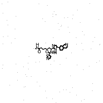 CNC(=O)CCCCCC(NC(=O)c1ccns1)c1ncc(-c2ccc3ccncc3c2)[nH]1